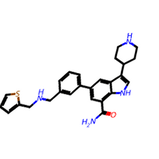 NC(=O)c1cc(-c2cccc(CNCc3cccs3)c2)cc2c(C3CCNCC3)c[nH]c12